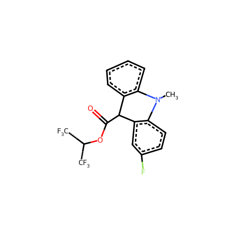 CN1c2ccccc2C(C(=O)OC(C(F)(F)F)C(F)(F)F)c2cc(F)ccc21